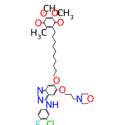 COC1=C(OC)C(=O)C(CCCCCCCCCCOc2cc3ncnc(Nc4ccc(F)c(Cl)c4)c3cc2OCCCN2CCOCC2)=C(C)C1=O